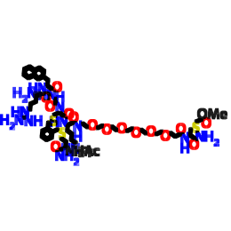 COC(=O)CSCC(NC(=O)CCOCCOCCOCCOCCOCCOCCNC(=O)C(CCCCNC(C)C)NC(=O)C(CSCc1ccccc1CSCCC(NC(C)=O)C(N)=O)NC(=O)CNC(=O)C(Cc1ccc2ccccc2c1)NC(=O)[C@H](N)CCCNC(=N)N)C(N)=O